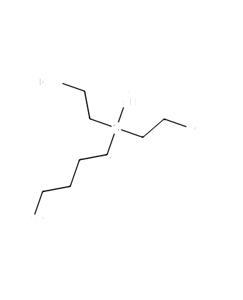 CCCCCCCCCCCCCC[N+](C)(CCS(=O)(=O)O)CCS(=O)(=O)O